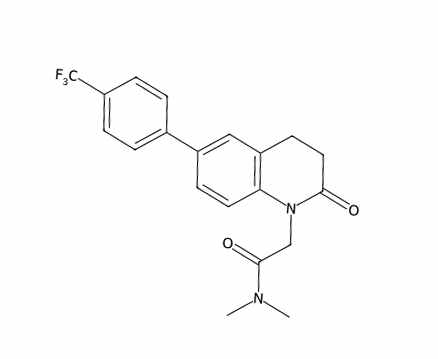 CN(C)C(=O)CN1C(=O)CCc2cc(-c3ccc(C(F)(F)F)cc3)ccc21